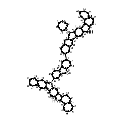 c1cncc(-n2c3cc4ccc(-c5ccc6sc7cc(-n8c9cc%10ccccc%10cc9c9cc%10[nH]c%11c%12ccccc%12ccc%11c%10cc98)ccc7c6c5)cc4cc3c3cc4[nH]c5ccc6ccccc6c5c4cc32)c1